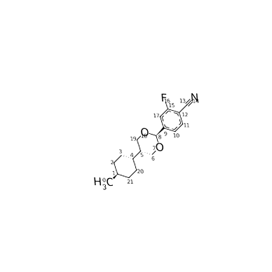 C[C@H]1CC[C@H]([C@H]2CO[C@H](c3ccc(C#N)c(F)c3)OC2)CC1